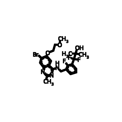 COCCOc1cc2c(NCc3cccc(C(F)(F)C(C)(C)O)c3F)nc(C)nc2cc1Br